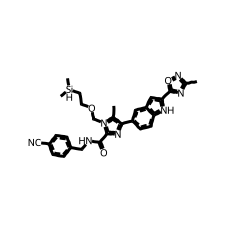 Cc1noc(-c2cc3cc(-c4nc(C(=O)NCc5ccc(C#N)cc5)n(COCC[SiH](C)C)c4C)ccc3[nH]2)n1